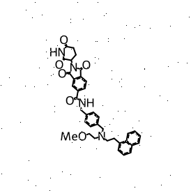 COCCN(CCc1cccc2ccccc12)Cc1ccc(CNC(=O)c2ccc3c(c2)C(=O)N(C2CCC(=O)NC2=O)C3=O)cc1